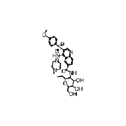 CCC1OC(CO)C(O)C(O)C1NC(=O)c1ccc2ncc(S(=O)(=O)c3ccc(OC)cc3)c(NN3CCN(C)CC3)c2c1